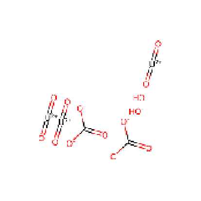 O=C([O-])[O-].O=C([O-])[O-].[OH-].[OH-].[O]=[U+2]=[O].[O]=[U+2]=[O].[O]=[U+2]=[O]